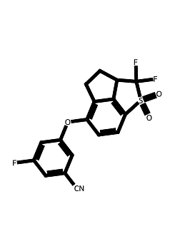 N#Cc1cc(F)cc(Oc2ccc3c4c2CCC4C(F)(F)S3(=O)=O)c1